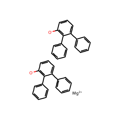 [Mg+2].[O-]c1cccc(-c2ccccc2)c1-c1ccccc1.[O-]c1cccc(-c2ccccc2)c1-c1ccccc1